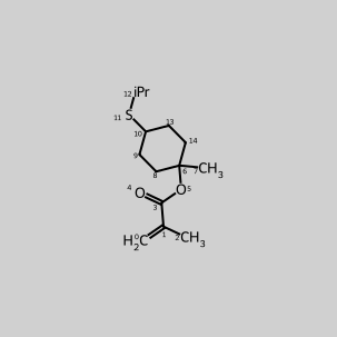 C=C(C)C(=O)OC1(C)CCC(SC(C)C)CC1